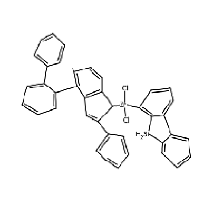 Cc1ccc2c(c1-c1ccccc1-c1ccccc1)C=C(c1ccccc1)[CH]2[Zr]([Cl])([Cl])[c]1cccc2c1[SiH2]c1ccccc1-2